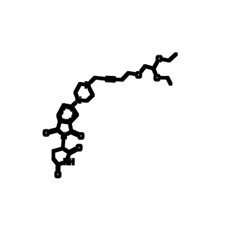 CCOC(COCCC#CCN1CCN(c2ccc3c(c2)C(=O)N(C2CCC(=O)NC2=O)C3=O)CC1)OCC